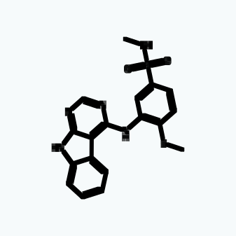 CNS(=O)(=O)c1ccc(SC)c(Nc2ncnc3[nH]c4ccccc4c23)c1